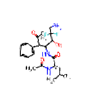 CC(=O)N[C@@H](CC(C)C)C(=O)NC(C(C(C)=O)c1ccccc1)C(O)C(F)(F)CN